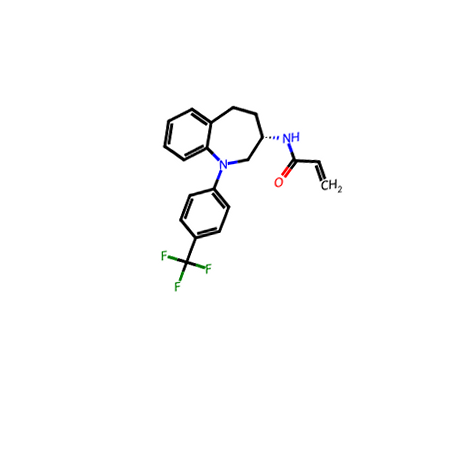 C=CC(=O)N[C@H]1CCc2ccccc2N(c2ccc(C(F)(F)F)cc2)C1